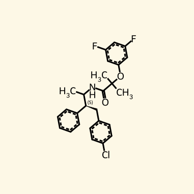 CC(NC(=O)C(C)(C)Oc1cc(F)cc(F)c1)[C@@H](Cc1ccc(Cl)cc1)c1ccccc1